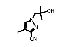 CC(C)(O)Cn1cc(I)c(C#N)n1